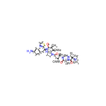 CC[C@H](C)[C@@H]([C@@H](CC(=O)N1CCC[C@H]1[C@H](OC)[C@@H](C)C(=O)N[C@@H](Cc1ccc(N)cc1)c1nccs1)OC)N(C)C(=O)[C@@H](NC(=O)[C@]1(C)CCCN1C)C(C)C